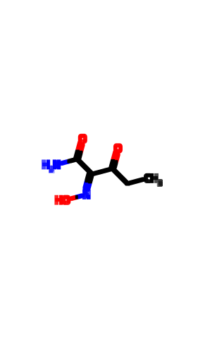 CCC(=O)C(=NO)C(N)=O